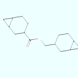 O=C(OCC1CCC2CC2C1)C1CCC2CC2C1